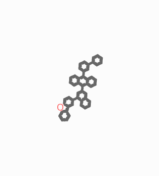 c1ccc(-c2cccc(-c3c4ccccc4c(-c4cc(-c5ccc6oc7ccccc7c6c5)c5ccccc5c4)c4ccccc34)c2)cc1